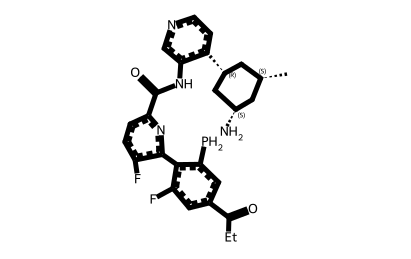 CCC(=O)c1cc(F)c(-c2nc(C(=O)Nc3cnccc3[C@@H]3C[C@H](C)C[C@H](N)C3)ccc2F)c(P)c1